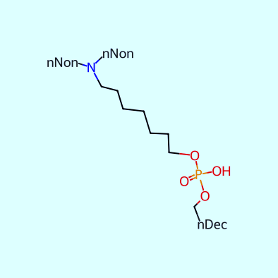 CCCCCCCCCCCOP(=O)(O)OCCCCCCCN(CCCCCCCCC)CCCCCCCCC